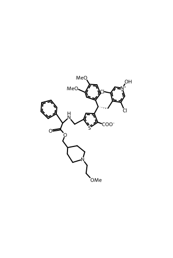 COCCN1CCC(COC(=O)C(NCc2cc([C@@H](Cc3c(Cl)c[n+](O)cc3Cl)c3ccc(OC)c(OC)c3)c(C(=O)[O-])s2)c2ccccc2)CC1